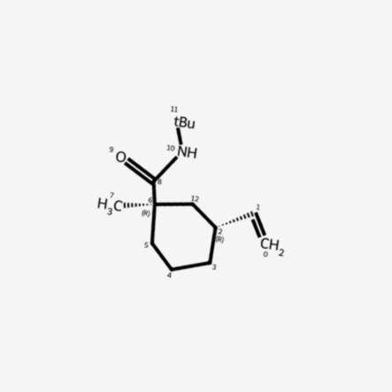 C=C[C@@H]1CCC[C@@](C)(C(=O)NC(C)(C)C)C1